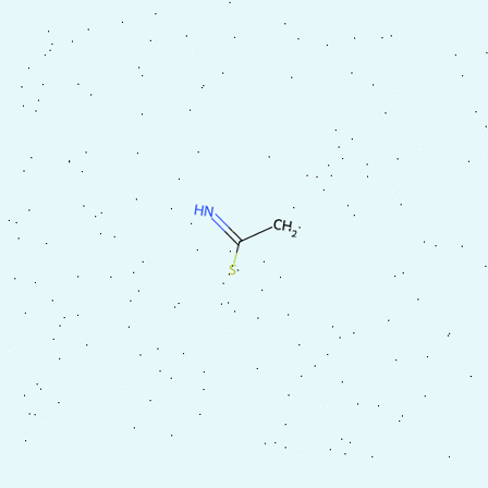 [CH2]C(=N)[S]